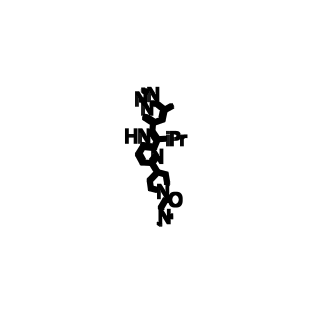 Cc1cc(-c2[nH]c3ccc(C4CCN(C(=O)CN(C)C)CC4)nc3c2C(C)C)cn2ncnc12